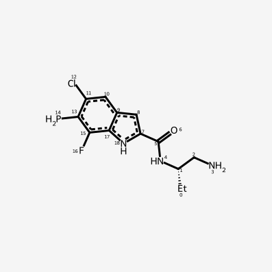 CC[C@@H](CN)NC(=O)c1cc2cc(Cl)c(P)c(F)c2[nH]1